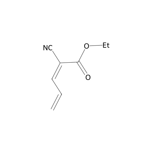 C=CC=C(C#N)C(=O)OCC